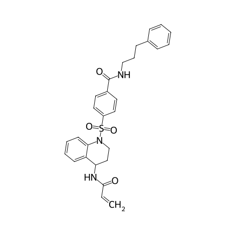 C=CC(=O)NC1CCN(S(=O)(=O)c2ccc(C(=O)NCCCc3ccccc3)cc2)c2ccccc21